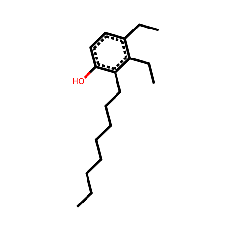 CCCCCCCCc1c(O)ccc(CC)c1CC